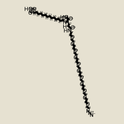 [N-]=[N+]=NCCOCCOCCOCCOCCOCCOCCOCCOCCOCCOCCOCCNC(=O)CC[C@H](NC(=O)CCCCCCCCCCCCCS(=O)(=O)O)C(=O)O